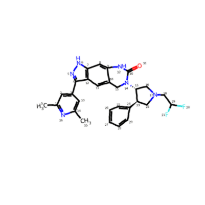 Cc1cc(-c2n[nH]c3cc4c(cc23)CN([C@@H]2CN(CC(F)F)C[C@H]2c2ccccc2)C(=O)N4)cc(C)n1